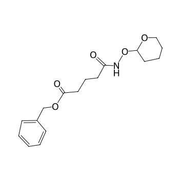 O=C(CCCC(=O)OCc1ccccc1)NOC1CCCCO1